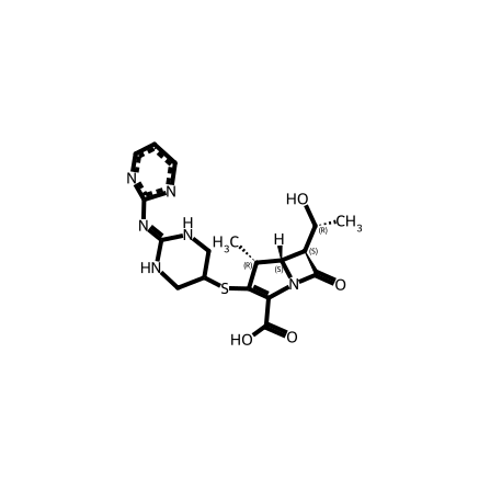 C[C@@H](O)[C@H]1C(=O)N2C(C(=O)O)=C(SC3CNC(=Nc4ncccn4)NC3)[C@H](C)[C@H]12